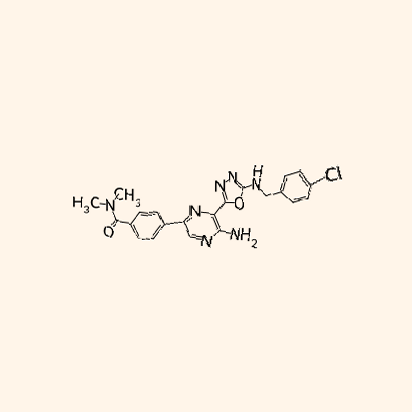 CN(C)C(=O)c1ccc(-c2cnc(N)c(-c3nnc(NCc4ccc(Cl)cc4)o3)n2)cc1